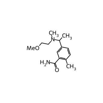 COCCN(C)C(C)c1ccc(C)c(C(N)=O)c1